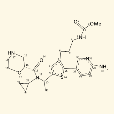 COC(=O)NCCCc1cc(C(C)N(C(=O)[C@H]2CNCCO2)C2CC2)sc1-c1ccc(N)nc1